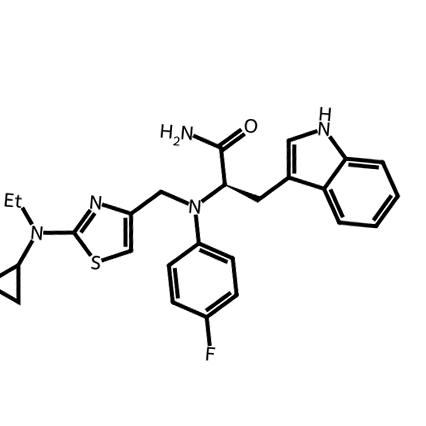 CCN(c1nc(CN(c2ccc(F)cc2)[C@H](Cc2c[nH]c3ccccc23)C(N)=O)cs1)C1CC1